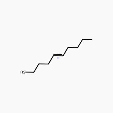 CCCC/C=C/CCCS